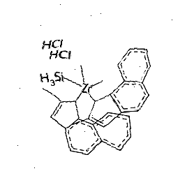 CC1=Cc2ccc3ccccc3c2[CH]1[Zr]([CH3])([CH3])([SiH3])[CH]1C(C)=Cc2ccc3ccccc3c21.Cl.Cl